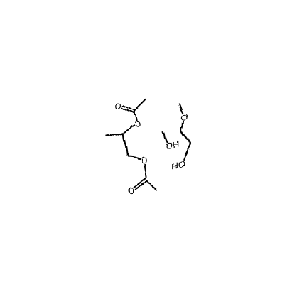 CC(=O)OCC(C)OC(C)=O.CO.COCCO